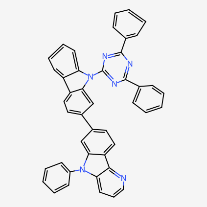 c1ccc(-c2nc(-c3ccccc3)nc(-n3c4ccccc4c4ccc(-c5ccc6c7ncccc7n(-c7ccccc7)c6c5)cc43)n2)cc1